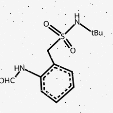 CC(C)(C)NS(=O)(=O)Cc1ccccc1NC=O